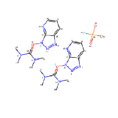 CN(C)C(=[O+]n1nnc2cccnc21)N(C)C.CN(C)C(=[O+]n1nnc2cccnc21)N(C)C.O=P([O-])([O-])F